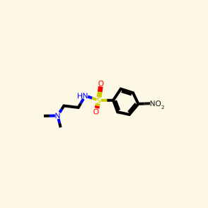 CN(C)CCNS(=O)(=O)c1ccc([N+](=O)[O-])cc1